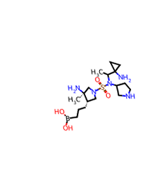 CC(N(C1CCNC1)S(=O)(=O)N1C[C@H](CCCB(O)O)[C@@](C)(N)C1)C1(N)CC1